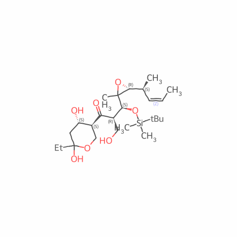 C/C=C\[C@H](C)[C@H]1OC1(C)[C@@H](O[Si](C)(C)C(C)(C)C)[C@@H](CO)C(=O)[C@H]1COC(O)(CC)C[C@@H]1O